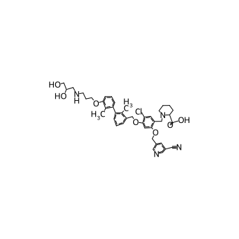 Cc1c(COc2cc(OCc3cncc(C#N)c3)c(CN3CCCCC3C(=O)O)cc2Cl)cccc1-c1cccc(OCCCNCC(O)CO)c1C